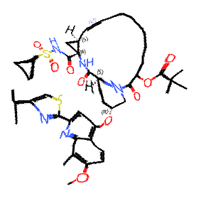 COc1ccc2c(O[C@@H]3C[C@H]4C(=O)N[C@]5(C(=O)NS(=O)(=O)C6CC6)C[C@H]5/C=C\CCCCCC(OC(=O)C(C)(C)C)C(=O)N4C3)cc(-c3nc(C(C)C)cs3)nc2c1C